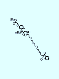 CCCCOC(=O)[C@H](Cc1ccc(OCC(=O)OC(C)(C)C)cc1)NC(=O)CCOCCOCCOCCOCCN1C(=O)c2ccccc2C1=O